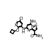 NC(=O)c1cnn2c(N)cc(Nc3cc(Cl)cnc3OC3CCC3)nc12